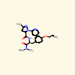 C=CCOc1ccc(C[C@H](NC(=O)c2cc(C)nn2-c2ccccn2)C(=O)N(C)OC)cc1